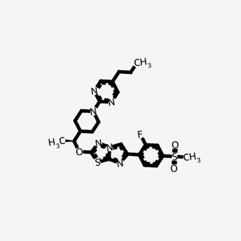 CCCc1cnc(N2CCC([C@H](C)Oc3nn4cc(-c5ccc(S(C)(=O)=O)cc5F)nc4s3)CC2)nc1